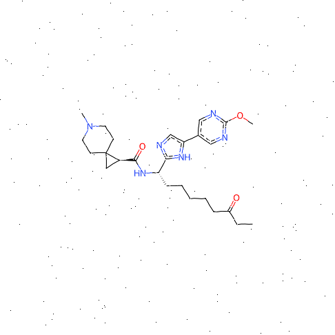 CCC(=O)CCCCC[C@H](NC(=O)[C@H]1CC12CCN(C)CC2)c1ncc(-c2cnc(OC)nc2)[nH]1